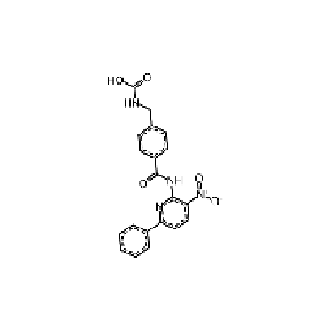 O=C(O)NCc1ccc(C(=O)Nc2nc(-c3ccccc3)ccc2[N+](=O)[O-])cc1